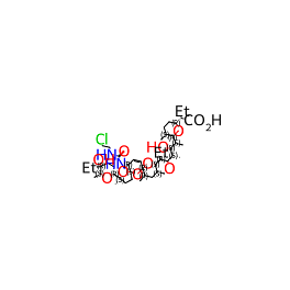 CCC(C(=O)O)[C@H]1CC[C@H](C)[C@H]([C@@H](C)[C@H](O)[C@H](C)C(=O)[C@H](CC)[C@H]2O[C@]3(C=C[C@@H](NC(=O)NCCCl)[C@]4(CC[C@@](C)([C@H]5CC[C@](O)(CC)[C@H](C)O5)O4)O3)[C@H](C)C[C@@H]2C)O1